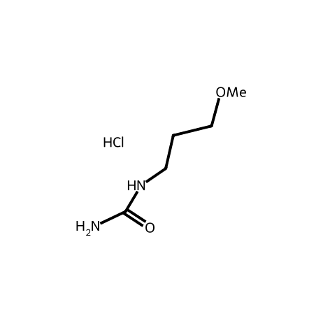 COCCCNC(N)=O.Cl